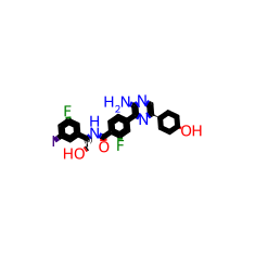 Nc1ncc([C@H]2CC[C@H](O)CC2)nc1-c1ccc(C(=O)N[C@H](CO)c2cc(F)cc(I)c2)c(F)c1